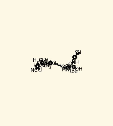 CC(C)(C)[C@H](NC(=O)COCCCCCOc1ccc(C(=O)N[C@H]2C(C)(C)[C@H](Oc3ccc(C#N)c(Cl)c3)C2(C)C)cc1)C(=O)N1C[C@H](O)C[C@H]1C(=O)NCc1ccc(-c2cncs2)cc1